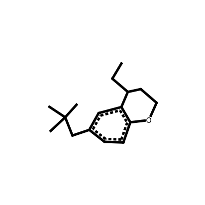 CCC1CCOc2ccc(CC(C)(C)C)cc21